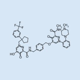 CNC(=O)c1nn(-c2ccccc2N2CCN(C)CC2)cc(OCc2ccc(CNC(=O)c3nn(CC4(c5cccc(C(F)(F)F)c5)CCCC4)cc(O)c3=O)cc2)c1=O